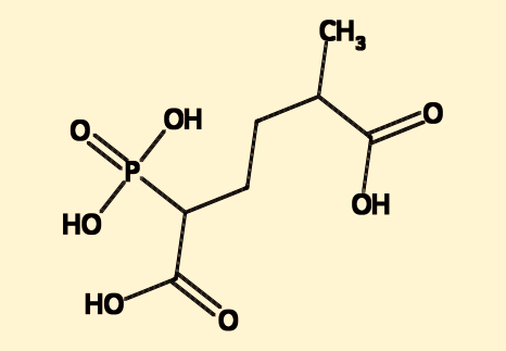 CC(CCC(C(=O)O)P(=O)(O)O)C(=O)O